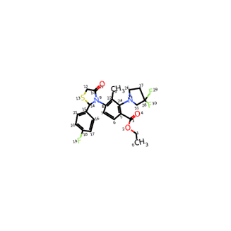 CCOC(=O)c1ccc(N2C(=O)CSC2c2ccc(F)cc2)c(C)c1N1CCC(F)(F)C1